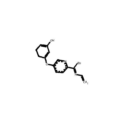 C=C/N=C(/c1ccc(OC2=CC(O)=CCC2)cn1)C(C)CC